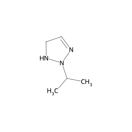 CC(C)N1N=CCN1